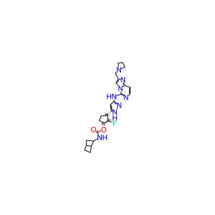 O=C(NC1CC2CCC21)O[C@@H]1CC[C@H](c2cc(Nc3nccc4nc(CN5CCC5)cn34)n[nH]2)[C@H]1F